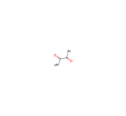 [CH2]C(=O)C(=O)C(=O)CCC